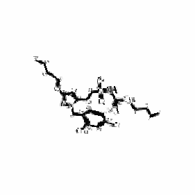 CCCCOC(=O)NS(=O)(=O)CCc1cc(OCCCC)nn1Cc1ccc(Cl)cc1Cl